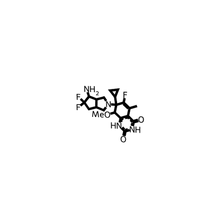 COC1c2[nH]c(=O)[nH]c(=O)c2C(C)=C(F)C1(C1CC1)N1CC2CC(F)(F)C(N)C2C1